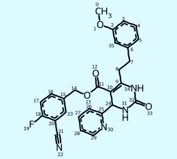 COc1cccc(CCC2=C(C(=O)OCc3ccc(F)c(C#N)c3)C(c3ccccn3)NC(=O)N2)c1